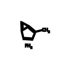 Cc1ccc2cc1-2.P